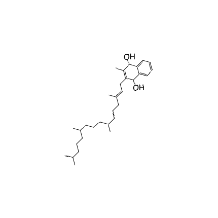 CC1=C(C/C=C(\C)CCCC(C)CCCC(C)CCCC(C)C)C(O)c2ccccc2C1O